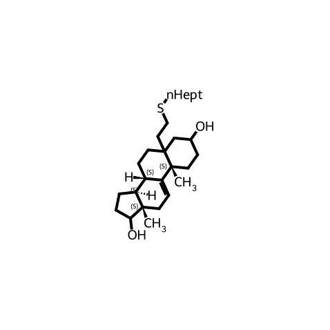 CCCCCCCSCCC12CC[C@@H]3C(=CC[C@]4(C)C(O)CC[C@@H]34)[C@@]1(C)CCC(O)C2